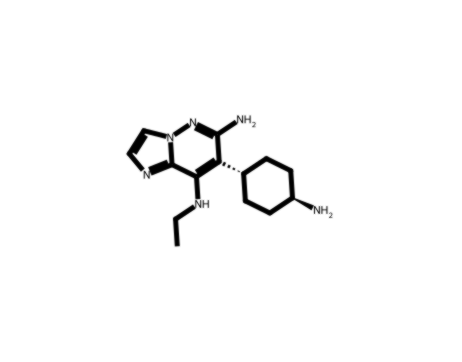 CCNc1c2nccn2nc(N)c1[C@H]1CC[C@H](N)CC1